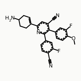 COc1ccc(-c2c(C#N)cc(C3=CCC(N)CC3)nc2-c2ccc(C#N)c(F)c2)cc1F